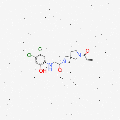 C=CC(=O)N1CCC2(C1)CN(C(=O)CNc1cc(Cl)c(Cl)cc1O)C2